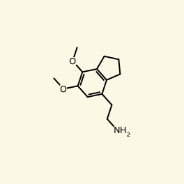 COc1cc(CCN)c2c(c1OC)CCC2